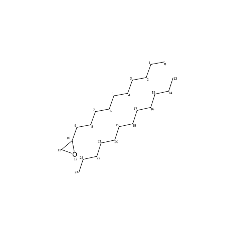 CCCCCCCCCCC1CO1.CCCCCCCCCCCC